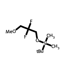 COCC(F)(F)CO[Si](C)(C)C(C)(C)C